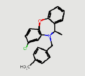 CC1c2ccccc2Oc2ccc(Cl)cc2N1Cc1ccc(C(=O)O)cc1